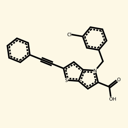 O=C(O)c1cc2sc(C#Cc3ccccc3)cc2n1Cc1cccc(Cl)c1